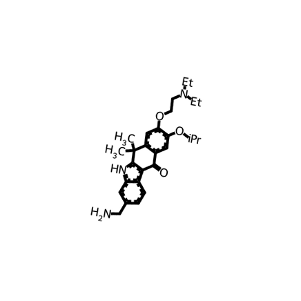 CCN(CC)CCOc1cc2c(cc1OC(C)C)C(=O)c1c([nH]c3cc(CN)ccc13)C2(C)C